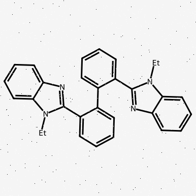 CCn1c(-c2ccccc2-c2ccccc2-c2nc3ccccc3n2CC)nc2ccccc21